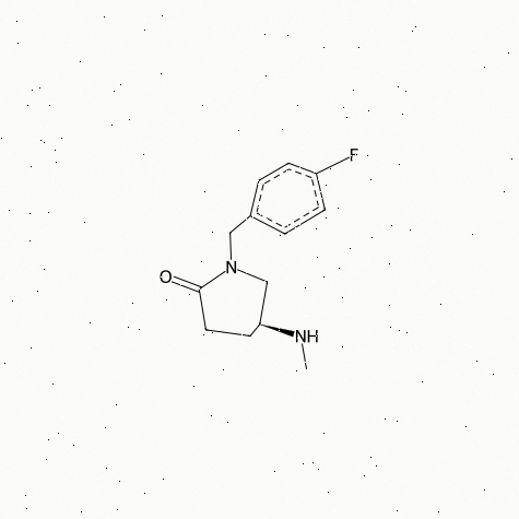 CN[C@H]1CCC(=O)N(Cc2ccc(F)cc2)C1